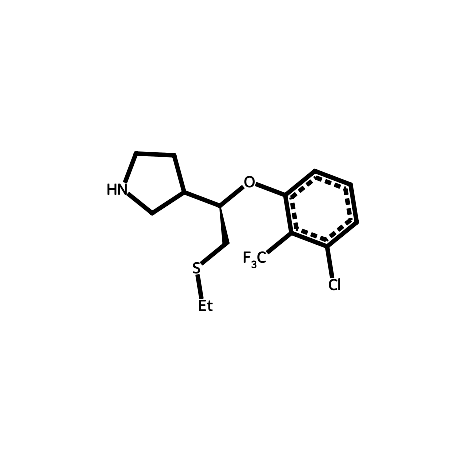 CCSC[C@H](Oc1cccc(Cl)c1C(F)(F)F)C1CCNC1